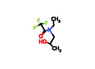 CCN(CC(C)O)C(=O)C(F)(F)F